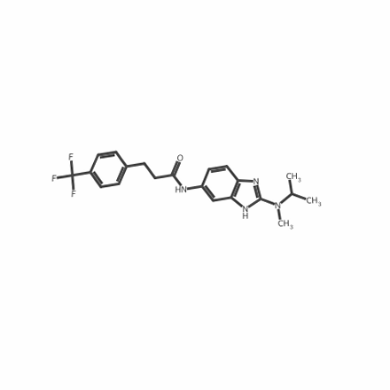 CC(C)N(C)c1nc2ccc(NC(=O)CCc3ccc(C(F)(F)F)cc3)cc2[nH]1